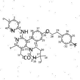 Cc1ccc(Nc2nc(C)c(CC(=O)O)c(N3CCC(C)(C)CC3)c2-c2ccc(OCCc3ccc(F)cc3)cc2)nc1